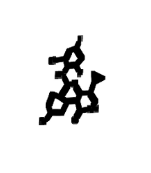 O=c1[nH]cc(C2CC2)c2nc(Nc3c(F)cc(F)cc3Cl)c3ccc(Br)cc3c12